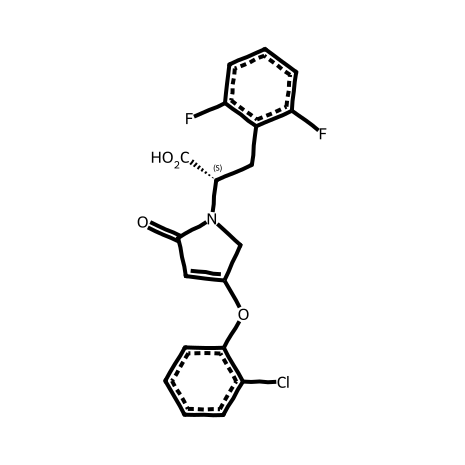 O=C(O)[C@H](Cc1c(F)cccc1F)N1CC(Oc2ccccc2Cl)=CC1=O